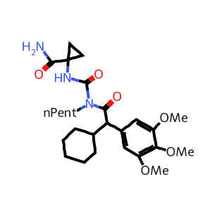 CCCCCN(C(=O)NC1(C(N)=O)CC1)C(=O)C(c1cc(OC)c(OC)c(OC)c1)C1CCCCC1